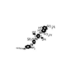 CCCCCCOc1ccc(/N=N/c2ccc(/N=N/c3cc(OCCO)c(/N=N/c4c(S(=O)(=O)O)cc5cc(S(=O)(=O)O)cc(O)c5c4O)cc3OCCO)c(S(=O)(=O)O)c2)c(N)c1